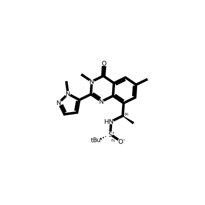 Cc1cc([C@@H](C)N[S@+]([O-])C(C)(C)C)c2nc(-c3ccnn3C)n(C)c(=O)c2c1